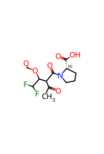 CC(=O)C(C(=O)N1CCC[C@H]1C(=O)O)C(OC=O)C(F)F